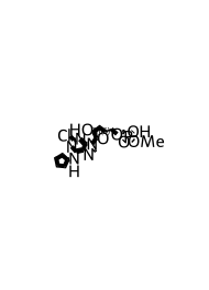 COP(=O)(O)COC[C@@H]1C[C@@H](O)C(n2cnc3c(NC4CCCC4)nc(Cl)nc32)O1